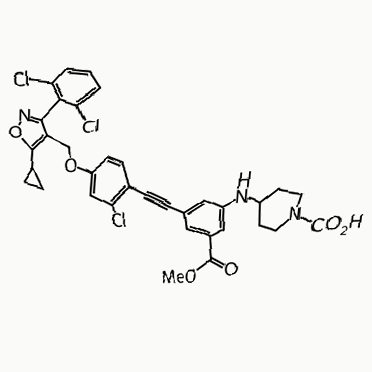 COC(=O)c1cc(C#Cc2ccc(OCc3c(-c4c(Cl)cccc4Cl)noc3C3CC3)cc2Cl)cc(NC2CCN(C(=O)O)CC2)c1